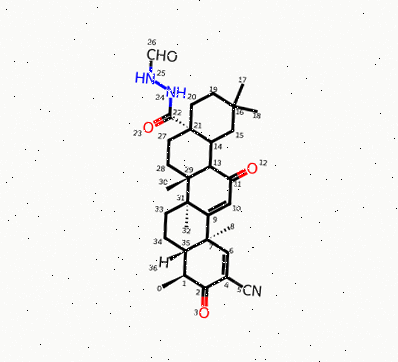 C[C@@H]1C(=O)C(C#N)=C[C@]2(C)C3=CC(=O)C4C5CC(C)(C)CC[C@]5(C(=O)NNC=O)CC[C@@]4(C)[C@]3(C)CC[C@@H]12